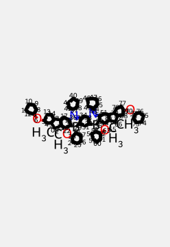 CC1(C)c2cc(Oc3ccccc3)ccc2-c2cc3c4c(c21)Oc1ccccc1B4c1cc2c(cc1N3c1ccccc1)N(c1ccccc1)c1cc3c(c4c1B2c1ccccc1O4)C(C)(C)c1cc(Oc2ccccc2)ccc1-3